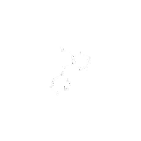 N#Cc1ccncc1Sc1cccnn1